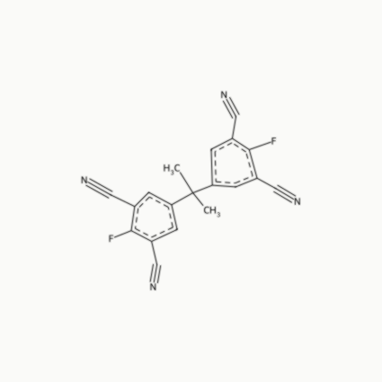 CC(C)(c1cc(C#N)c(F)c(C#N)c1)c1cc(C#N)c(F)c(C#N)c1